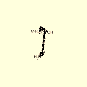 COC(=O)c1cccc(CN(CCO)CCOCCCSCCOCCOCCOc2ccc(N)cc2)n1